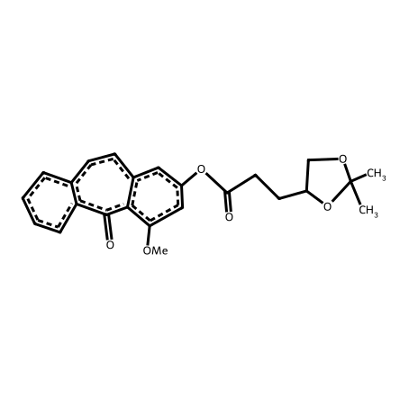 COc1cc(OC(=O)CCC2COC(C)(C)O2)cc2ccc3ccccc3c(=O)c12